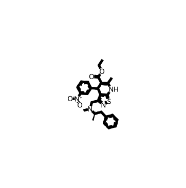 CCOC(=O)C1=C(C)Nc2snc(CN(C)[C@H](C)Cc3ccccc3)c2C1c1cccc([N+](=O)[O-])c1